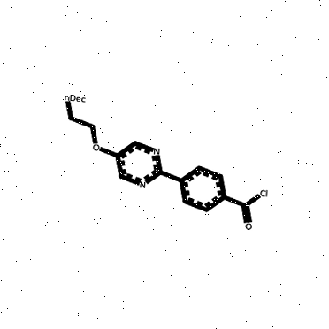 CCCCCCCCCCCCOc1cnc(-c2ccc(C(=O)Cl)cc2)nc1